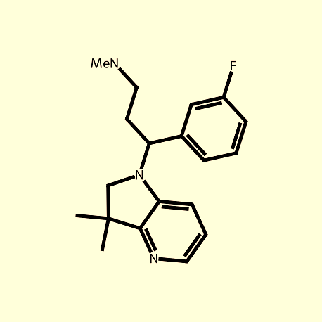 CNCCC(c1cccc(F)c1)N1CC(C)(C)c2ncccc21